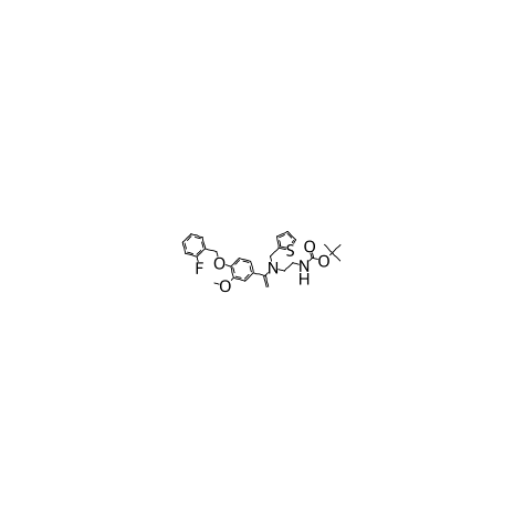 C=C(c1ccc(OCc2ccccc2F)c(OC)c1)N(CCNC(=O)OC(C)(C)C)Cc1cccs1